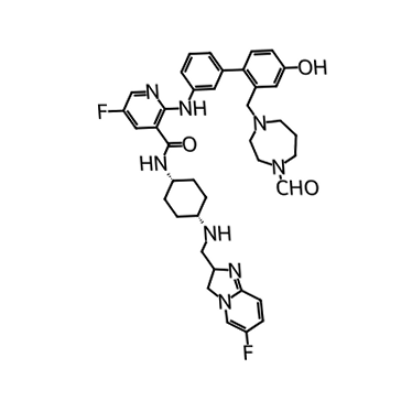 O=CN1CCCN(Cc2cc(O)ccc2-c2cccc(Nc3ncc(F)cc3C(=O)N[C@H]3CC[C@@H](NCC4CN5C=C(F)C=CC5=N4)CC3)c2)CC1